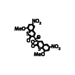 COc1cc([N+](=O)[O-])cc2cc(S(=O)(=O)c3cc4cc([N+](=O)[O-])cc(OC)c4sc3=O)c(=O)sc12